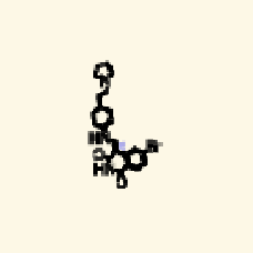 O=C1NC(=O)c2ccc(Br)cc2/C1=C/NC1=CCC(CCN2CCCC2)C=C1